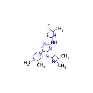 Cc1nc(Nc2ncc(N3CCN(C)[C@H](C)C3)c(Nc3cc(C)n(C)n3)n2)ccc1F